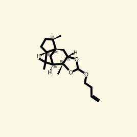 C=CCCOC1O[C@H]2C[C@@]34C[C@H](C(C)(C)[C@@H]3CC[C@H]4C)[C@@]2(C)O1